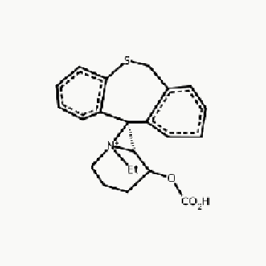 CC[N+]12CCCC(OC(=O)O)C1[C@]21c2ccccc2CSc2ccccc21